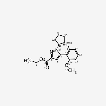 CCOC(=O)c1cc(-c2c(F)cccc2OC)n(C2CCCC2)n1